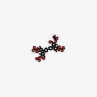 COC(=O)COc1c(C)cc(C2(c3cc(C)c(OCC(=O)OC)c(C=O)c3)CCC(C3CCC(c4cc(C)c(OCC(=O)OC)c(C=O)c4)(c4cc(C)c(OCC(=O)OC)c(C=O)c4)CC3)CC2)cc1C=O